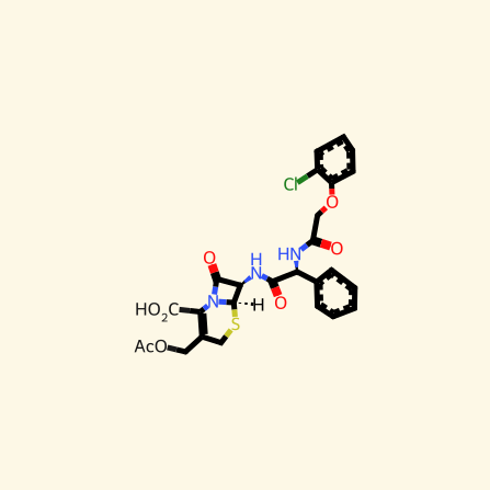 CC(=O)OCC1=C(C(=O)O)N2C(=O)[C@@H](NC(=O)[C@@H](NC(=O)COc3ccccc3Cl)c3ccccc3)[C@H]2SC1